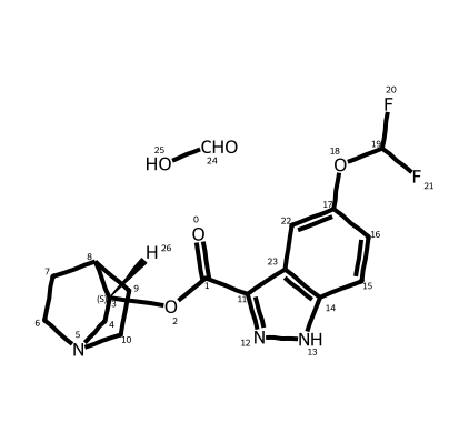 O=C(O[C@@H]1CN2CCC1CC2)c1n[nH]c2ccc(OC(F)F)cc12.O=CO